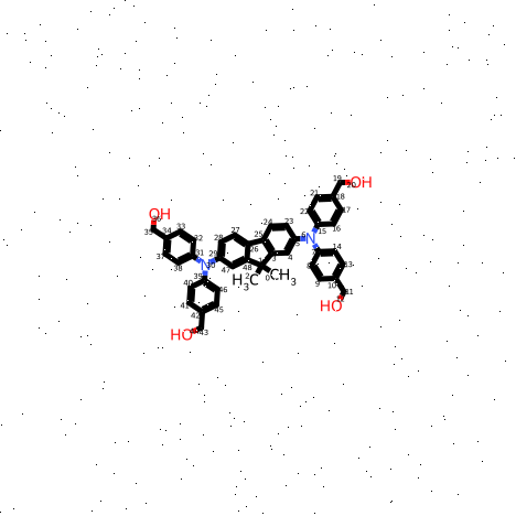 CC1(C)c2cc(N(c3ccc(CO)cc3)c3ccc(CO)cc3)ccc2-c2ccc(N(c3ccc(CO)cc3)c3ccc(CO)cc3)cc21